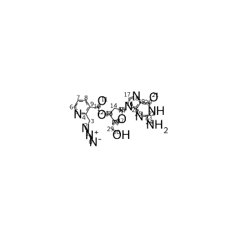 [N-]=[N+]=NCc1ncccc1C(=O)O[C@@H]1C[C@H](n2cnc3c(=O)[nH]c(N)nc32)O[C@@H]1CO